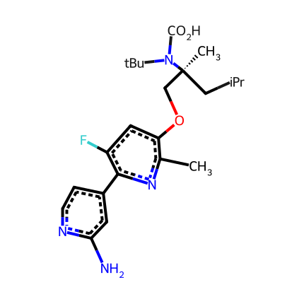 Cc1nc(-c2ccnc(N)c2)c(F)cc1OC[C@](C)(CC(C)C)N(C(=O)O)C(C)(C)C